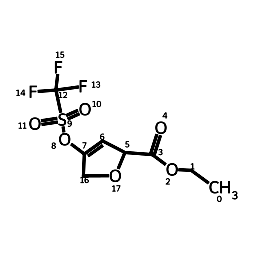 CCOC(=O)C1C=C(OS(=O)(=O)C(F)(F)F)CO1